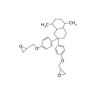 CC1CCC(C)C2CC(c3ccc(OCC4CO4)cc3)(c3ccc(OCC4CO4)cc3)CCC12